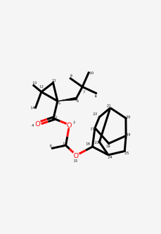 CC(OC(=O)[C@@]1(CC(C)(C)C)CC1(C)C)OC1C2CC3CC(C2)CC1C3